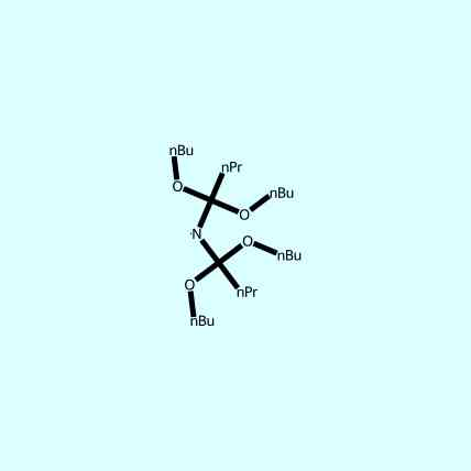 CCCCOC(CCC)([N]C(CCC)(OCCCC)OCCCC)OCCCC